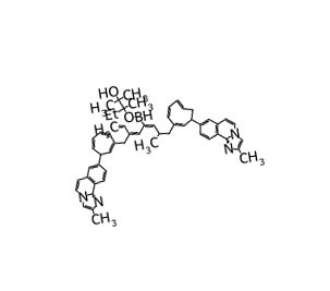 C=C/C(=C\C(BOC(C)(CC)C(C)(C)O)=C/C(C)CC1=C/C(c2ccc3c(ccn4cc(C)nc34)c2)C/C=C/C=C\1)CC1=CC(c2ccc3c(ccn4cc(C)nc34)c2)C=CC=C1